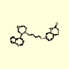 O=C1CCc2ccc(OCCCCN3CCNCC3c3ccsc4cccc3-4)cc2N1